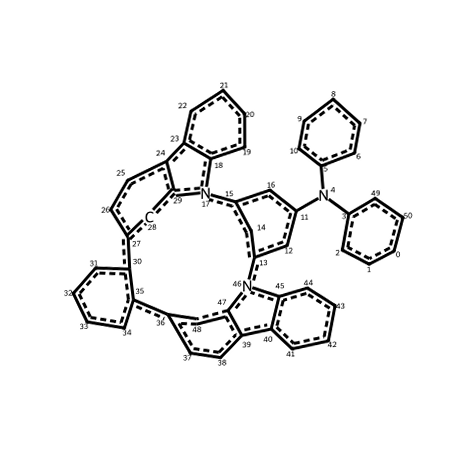 c1ccc(N(c2ccccc2)c2cc3cc(c2)n2c4ccccc4c4ccc(cc42)c2ccccc2c2ccc4c5ccccc5n3c4c2)cc1